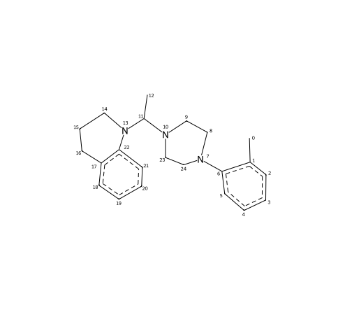 Cc1ccccc1N1CCN(C(C)N2CCCc3ccccc32)CC1